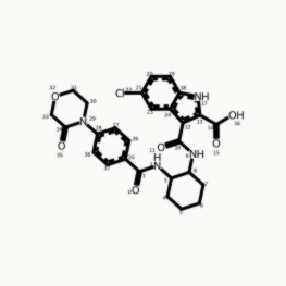 O=C(NC1CCCCC1NC(=O)c1c(C(=O)O)[nH]c2ccc(Cl)cc12)c1ccc(N2CCOCC2=O)cc1